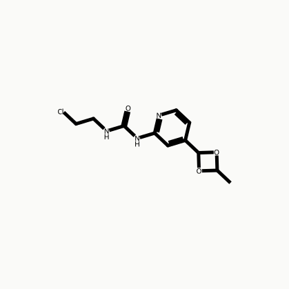 CC1OC(c2ccnc(NC(=O)NCCCl)c2)O1